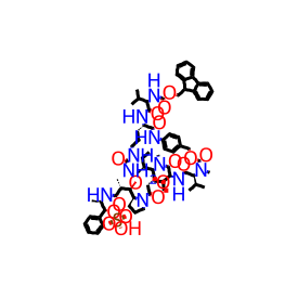 CC[C@H](C)[C@@H]([C@@H](CC(=O)N1CCC[C@H]1[C@H](OC)[C@@H](C)C(=O)N[C@H](C)[C@@H](OS(=O)(=O)O)c1ccccc1)OC)N(C)C(=O)[C@@H](NC(=O)[C@H](C(C)C)N(C)C(=O)OCc1ccc(NC(=O)[C@H](CCCNC(N)=O)NC(=O)[C@@H](NC(=O)OCC2c3ccccc3-c3ccccc32)C(C)C)cc1)C(C)C